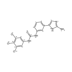 Nc1ncc(-c2cccc(NC(=O)Nc3cc(Cl)c(Cl)c(Cl)c3)c2)[nH]1